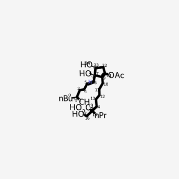 CCCC[C@H](C)CC/C=C/[C@]1(O)C(CCCCCC(CO)(CCC)C(=O)O)=C(OC(C)=O)C[C@H]1O